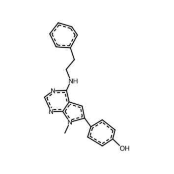 Cn1c(-c2ccc(O)cc2)cc2c(NCCc3ccccc3)ncnc21